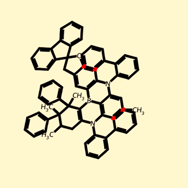 Cc1cc2c3c(c1)N(c1ccccc1-c1ccccc1)c1cc4c(cc1B3C1=C(CC(C)C(C)(c3ccccc3)C1(C)c1ccccc1)N2c1ccccc1-c1ccccc1)CC1(O4)c2ccccc2-c2ccccc21